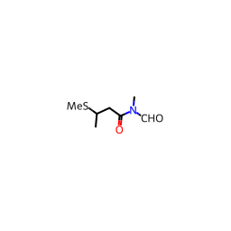 CSC(C)CC(=O)N(C)C=O